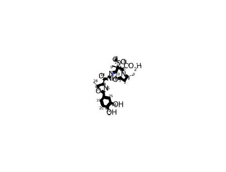 C[C@@H]1CC(=O)N1[C@@H](C(=O)O)[C@](C)(/C=N/NC(=O)[C@H]1N=C(c2ccc(O)c(O)c2)O[C@@H]1C)[SH](=O)=O